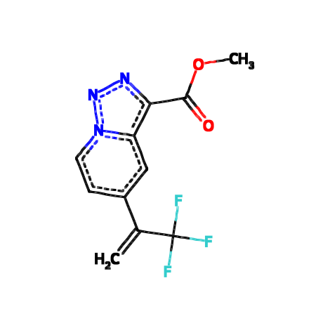 C=C(c1ccn2nnc(C(=O)OC)c2c1)C(F)(F)F